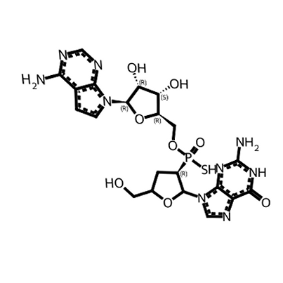 Nc1nc2c(ncn2C2OC(CO)C[C@H]2P(=O)(S)OC[C@H]2O[C@@H](n3ccc4c(N)ncnc43)[C@H](O)[C@@H]2O)c(=O)[nH]1